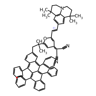 CC(C)(Cc1ccc2c(-c3ccccc3)c3c(-c4ccccc4)c4ccccc4c(-c4ccccc4)c3c(-c3ccccc3)c2c1)C1=CC(=C(C#N)C#N)C=C(/C=C/c2cc3c4c(c2)C(C)(C)CCN4CCC3(C)C)O1